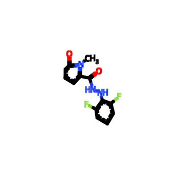 Cn1c(C(=O)NNc2c(F)cccc2F)cccc1=O